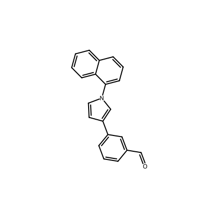 O=Cc1cccc(-c2ccn(-c3cccc4ccccc34)c2)c1